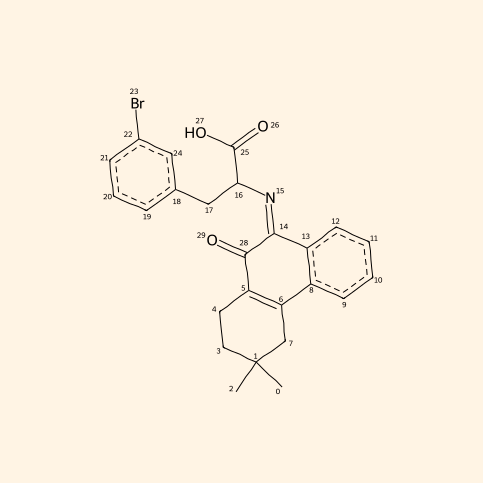 CC1(C)CCC2=C(C1)c1ccccc1/C(=N/C(Cc1cccc(Br)c1)C(=O)O)C2=O